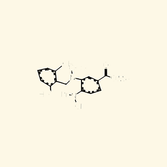 COC(=O)c1ccc(N(C)C(C)C)c(N(C=O)Cc2c(C)cccc2C)c1